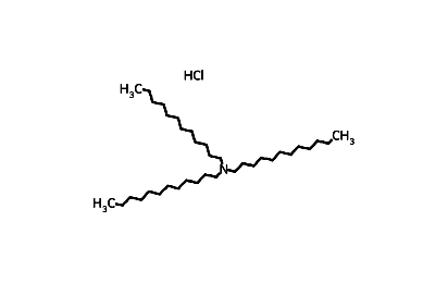 CCCCCCCCCCCCN(CCCCCCCCCCCC)CCCCCCCCCCCC.Cl